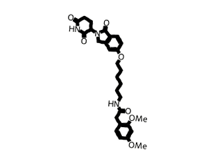 COc1ccc(CC(=O)NCCCCCCOc2ccc3c(c2)CN(C2CCC(=O)NC2=O)C3=O)c(OC)c1